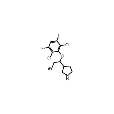 CC(C)CC(Oc1c(Cl)c(F)cc(F)c1Cl)C1CCNC1